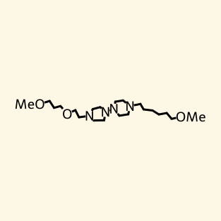 COCCCCCCN1CCN(N2CCN(CCOCCCOC)CC2)CC1